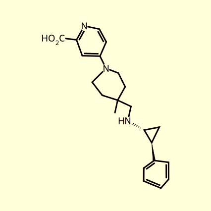 CC1(CN[C@@H]2C[C@H]2c2ccccc2)CCN(c2ccnc(C(=O)O)c2)CC1